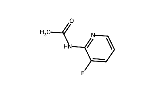 CC(=O)Nc1ncccc1F